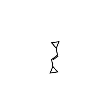 C(=CC1CC1)C1CC1